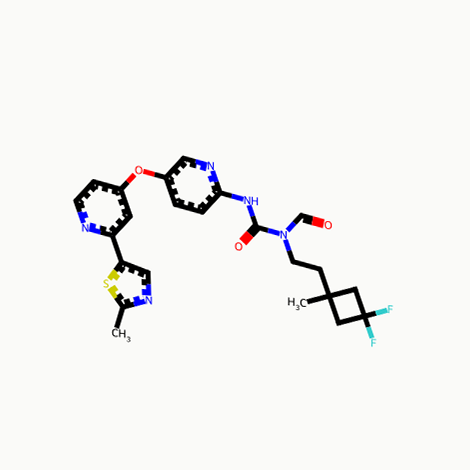 Cc1ncc(-c2cc(Oc3ccc(NC(=O)N(C=O)CCC4(C)CC(F)(F)C4)nc3)ccn2)s1